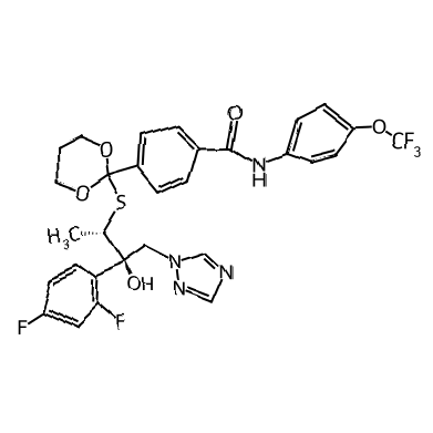 C[C@H](SC1(c2ccc(C(=O)Nc3ccc(OC(F)(F)F)cc3)cc2)OCCCO1)[C@](O)(Cn1cncn1)c1ccc(F)cc1F